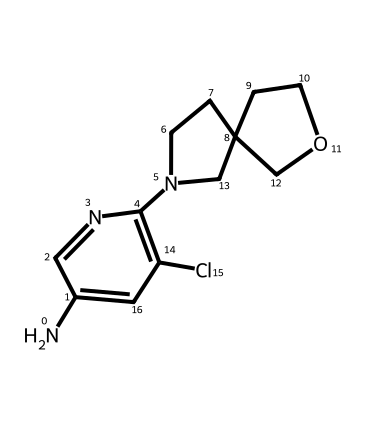 Nc1cnc(N2CCC3(CCOC3)C2)c(Cl)c1